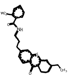 CCC1CCc2c(sc3cc(CCCNC(=O)c4ccccc4O)ccc3c2=O)C1